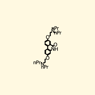 CCCN(CCC)CCOc1ccc2c(c1)[nH]c(=O)c1cc(OCCN(CCC)CCC)ccc12